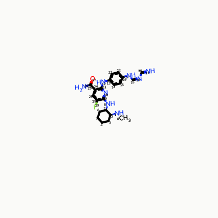 CN[C@H]1CCCC[C@H]1Nc1nc(Nc2ccc(N/C=N\C=N)cc2)c(C(N)=O)cc1F